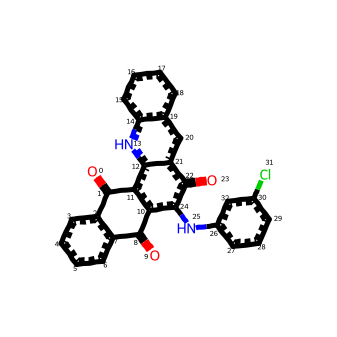 O=C1c2ccccc2C(=O)c2c1c1[nH]c3ccccc3cc-1c(=O)c2Nc1cccc(Cl)c1